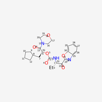 CC[C@H](NC(=O)O[C@@H](CC1CCCC1)C(=O)N1CCOCC1)C(=O)c1nc2ccccc2o1